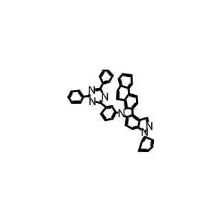 c1ccc(-c2nc(-c3ccccc3)nc(-c3cccc(-n4c5ccc6c(cnn6-c6ccccc6)c5c5ccc6c7ccccc7ccc6c54)c3)n2)cc1